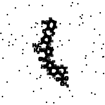 Cc1cc(Oc2c(F)cccc2F)ncc1-n1ncc(C(=O)c2cc3c4c(ccc3[nH]2)N(S(C)(=O)=O)CCC4)c1N